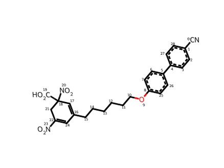 N#Cc1ccc(-c2ccc(OCCCCCCC3=CC(C(=O)O)([N+](=O)[O-])CC([N+](=O)[O-])=C3)cc2)cc1